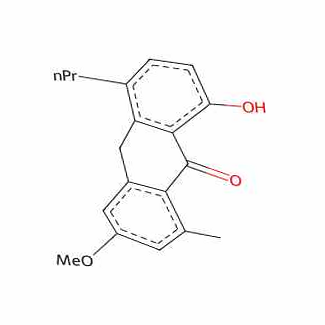 CCCc1ccc(O)c2c1Cc1cc(OC)cc(C)c1C2=O